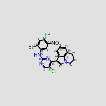 CCc1cc(F)c([N+](=O)[O-])cc1Nc1ncc(Cl)c(-c2cn3c4c(cccc24)CCC3)n1